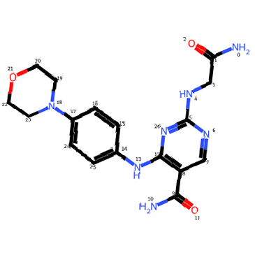 NC(=O)CNc1ncc(C(N)=O)c(Nc2ccc(N3CCOCC3)cc2)n1